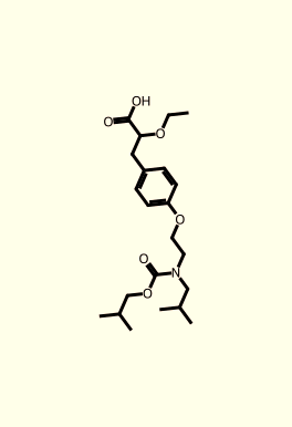 CCOC(Cc1ccc(OCCN(CC(C)C)C(=O)OCC(C)C)cc1)C(=O)O